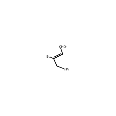 CCCCC(=C[C]=O)CC